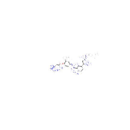 Cc1cc(Nc2ncnc3ccc(-c4cc(NC(=O)O)n[nH]4)cc23)ccc1Oc1cc2nncn2cn1